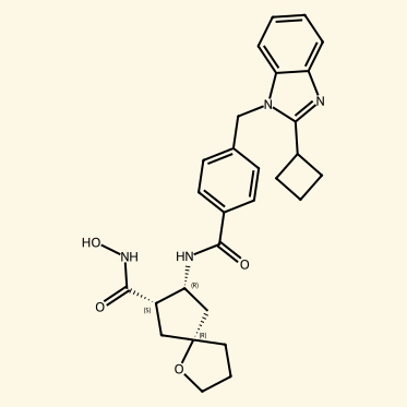 O=C(N[C@@H]1C[C@@]2(CCCO2)C[C@@H]1C(=O)NO)c1ccc(Cn2c(C3CCC3)nc3ccccc32)cc1